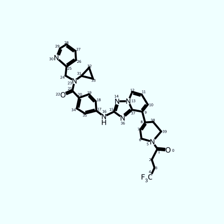 O=C(CCC(F)(F)F)N1CC=C(c2cccn3nc(Nc4ccc(C(=O)N(Cc5ccccn5)C5CC5)cc4)nc23)CC1